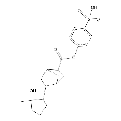 CC1(O)CCCC1C1CC2CC1CC2C(=O)Oc1ccc(S(=O)(=O)O)cc1